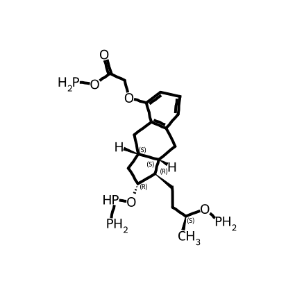 C[C@@H](CC[C@@H]1[C@H]2Cc3cccc(OCC(=O)OP)c3C[C@H]2C[C@H]1OPP)OP